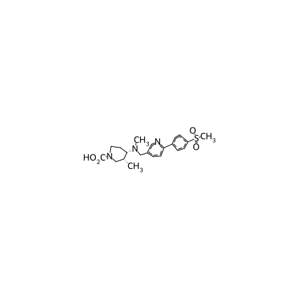 C[C@@H]1CN(C(=O)O)CC[C@@H]1N(C)Cc1ccc(-c2ccc(S(C)(=O)=O)cc2)nc1